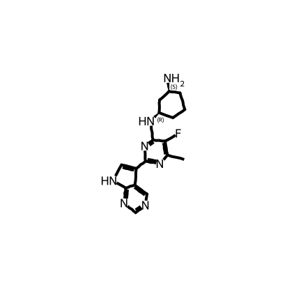 Cc1nc(-c2c[nH]c3ncncc23)nc(N[C@@H]2CCC[C@H](N)C2)c1F